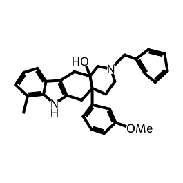 COc1cccc(C23CCN(Cc4ccccc4)CC2(O)Cc2c([nH]c4c(C)cccc24)C3)c1